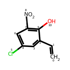 C=Cc1cc(Cl)cc([N+](=O)[O-])c1O